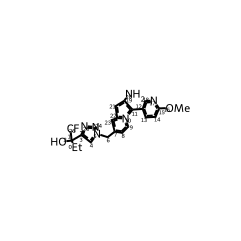 CCC(O)(c1cn(Cc2ccn3c(-c4ccc(OC)nc4)c(N)cc3c2)nn1)C(F)(F)F